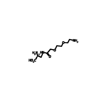 NCCOCCOCC(=O)NC[C@H](N)C(=O)O